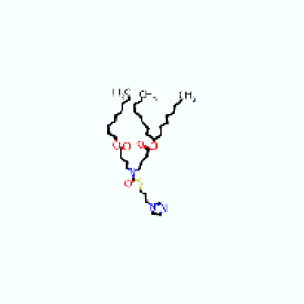 CCCCCC/C=C\COC(=O)CCCN(CCCC(=O)OC(CCCCCCCC)CCCCCCCC)C(=O)SCCCn1ccnc1